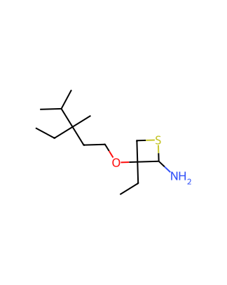 CCC(C)(CCOC1(CC)CSC1N)C(C)C